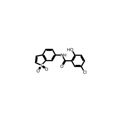 O=C(Nc1ccc2c(c1)S(=O)(=O)C=C2)c1cc(Cl)ccc1O